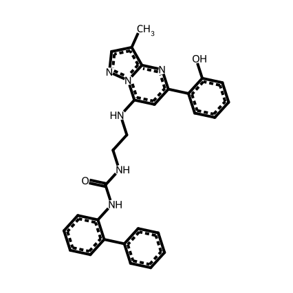 Cc1cnn2c(NCCNC(=O)Nc3ccccc3-c3ccccc3)cc(-c3ccccc3O)nc12